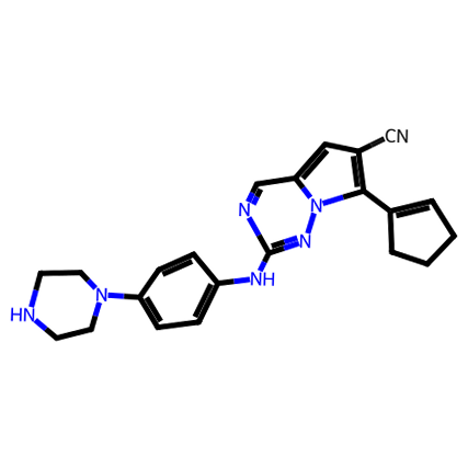 N#Cc1cc2cnc(Nc3ccc(N4CCNCC4)cc3)nn2c1C1=CCCC1